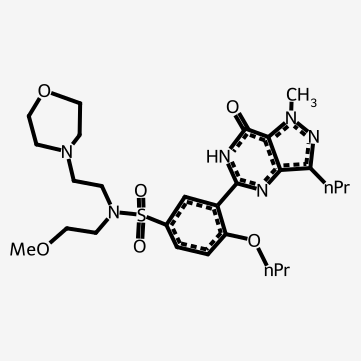 CCCOc1ccc(S(=O)(=O)N(CCOC)CCN2CCOCC2)cc1-c1nc2c(CCC)nn(C)c2c(=O)[nH]1